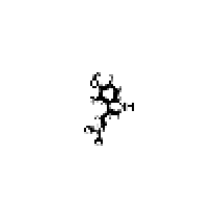 COc1c(F)cc2[nH]cc(C=C[N+](=O)[O-])c2c1F